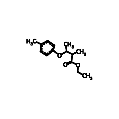 CCOC(=O)C(C)C(C)Oc1ccc(C)cc1